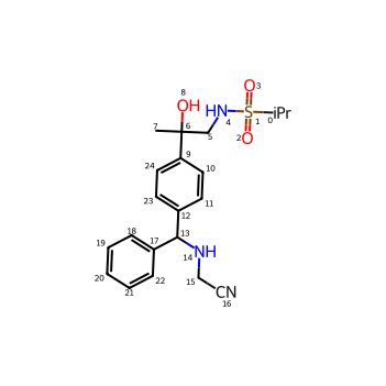 CC(C)S(=O)(=O)NCC(C)(O)c1ccc(C(NCC#N)c2ccccc2)cc1